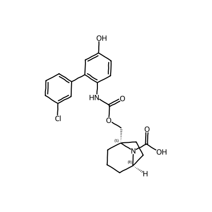 O=C(Nc1ccc(O)cc1-c1cccc(Cl)c1)OC[C@]12CCC[C@H](CC1)N2C(=O)O